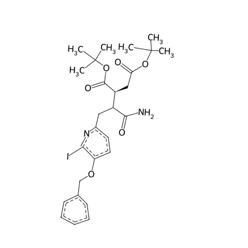 CC(C)(C)OC(=O)C[C@H](C(=O)OC(C)(C)C)C(Cc1ccc(OCc2ccccc2)c(I)n1)C(N)=O